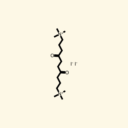 C[N+](C)(C)CCCC(=O)CCC(=O)CCC[N+](C)(C)C.[I-].[I-]